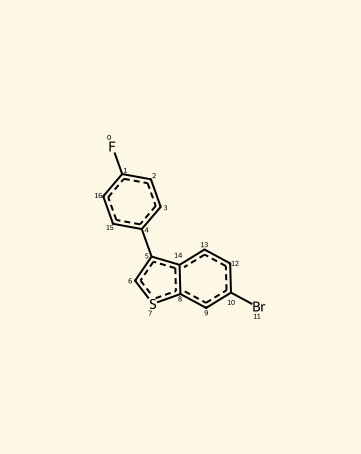 Fc1ccc(-c2csc3cc(Br)ccc23)cc1